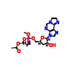 B[PH](OC)(OCOC(C)=O)OC[C@@H]1C[C@H](O)[C@H](n2cnc3c2ncn2ccnc32)O1